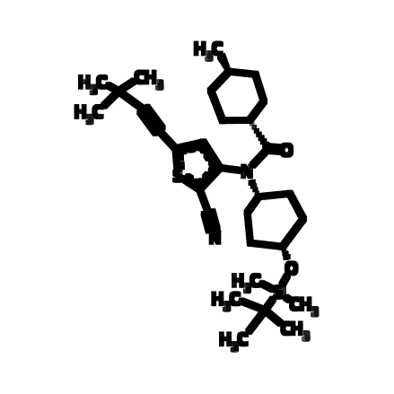 CC(C)(C)C#Cc1cc(N(C(=O)[C@H]2CC[C@H](C)CC2)[C@H]2CC[C@@H](O[Si](C)(C)C(C)(C)C)CC2)c(C#N)s1